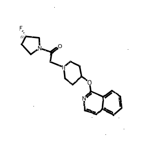 O=C(CN1CCC(Oc2nccc3ccccc23)CC1)N1CC[C@H](F)C1